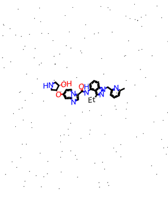 CCc1nn(Cc2cccc(C)n2)c2cccc(NC(=O)c3cnc4cc(O[C@@H]5CNC[C@@H]5O)ccn34)c12